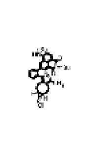 CCCCNc1ccc2c3c(cc(-c4ccccc4-c4nnc(C)c5c4CC[C@@H]4[C@H](CO)[C@@H]4CC5)cc13)C(=O)N(CCCC)C2=O